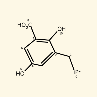 CC(C)Cc1cc(O)cc(C(=O)O)c1O